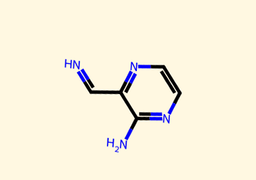 N=Cc1nccnc1N